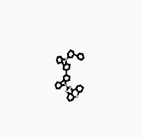 c1ccc(-c2cccc(-n3c4ccccc4c4cc(-c5ccc6c(c5)c5ccccc5n6-c5nc6c7c(cccc7n5)Oc5ccccc5-6)ccc43)c2)cc1